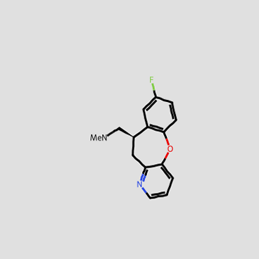 CNC[C@@H]1Cc2ncccc2Oc2ccc(F)cc21